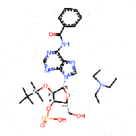 CC(C)(C)[Si](C)(C)O[C@@H]1[C@H](O[PH](=O)O)[C@@H](CO)O[C@H]1n1cnc2c(NC(=O)c3ccccc3)ncnc21.CCN(CC)CC